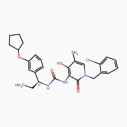 Cc1cn(Cc2ccccc2Cl)c(=O)c(NC(=O)N[C@@H](CC(=O)O)c2cccc(OC3CCCC3)c2)c1O